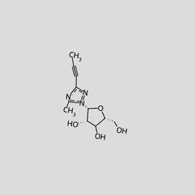 CC#Cc1nc(C)n([C@@H]2O[C@H](CO)C(O)[C@@H]2O)n1